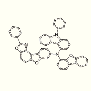 c1ccc(-c2nc3c(ccc4oc5cc(N(c6cccc7c6oc6ccccc67)c6cccc7c6c6ccccc6n7-c6ccccc6)ccc5c43)o2)cc1